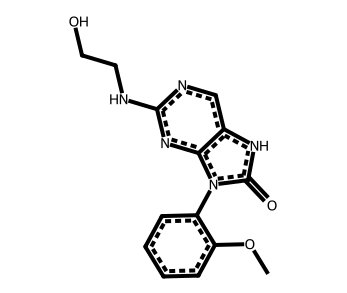 COc1ccccc1-n1c(=O)[nH]c2cnc(NCCO)nc21